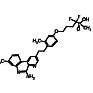 Cc1ccc2c(c1)nc(N)c1ncc(CCc3ccc(OCCCC(F)(F)P(C)(=O)O)cc3C)cc12